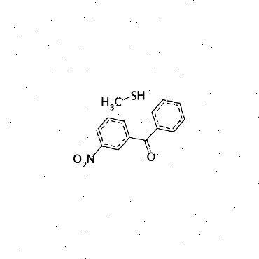 CS.O=C(c1ccccc1)c1cccc([N+](=O)[O-])c1